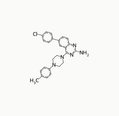 Cc1ccc(N2CCN(c3nc(N)nc4ccc(-c5ccc(Cl)cc5)cc34)CC2)cc1